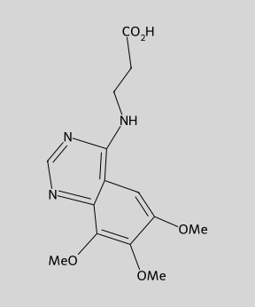 COc1cc2c(NCCC(=O)O)ncnc2c(OC)c1OC